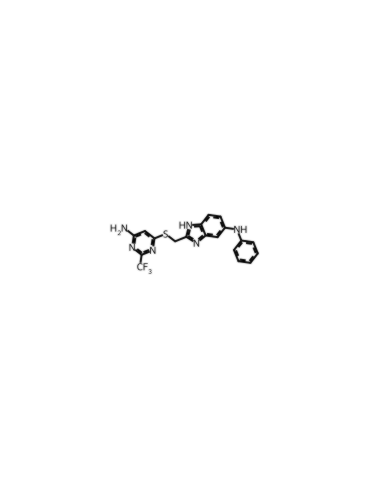 Nc1cc(SCc2nc3cc(Nc4ccccc4)ccc3[nH]2)nc(C(F)(F)F)n1